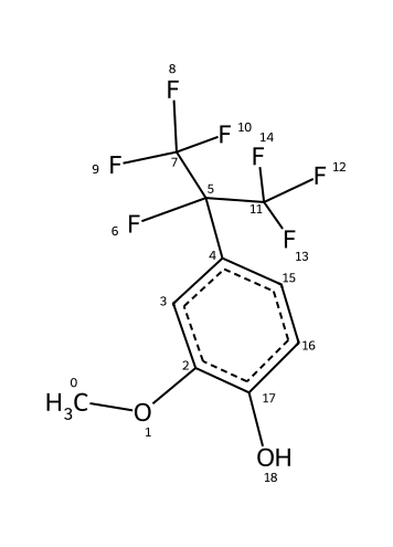 COc1cc(C(F)(C(F)(F)F)C(F)(F)F)ccc1O